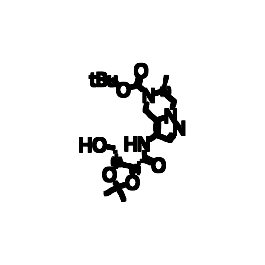 C[C@H]1Cn2ncc(NC(=O)[C@@H]3OC(C)(C)O[C@@H]3CO)c2CN1C(=O)OC(C)(C)C